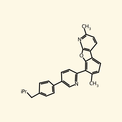 Cc1ccc2c(n1)oc1c(-c3ccc(-c4ccc(CC(C)C)cc4)cn3)c(C)ccc12